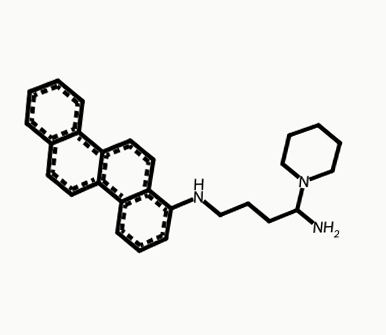 NC(CCCNc1cccc2c1ccc1c3ccccc3ccc21)N1CCCCC1